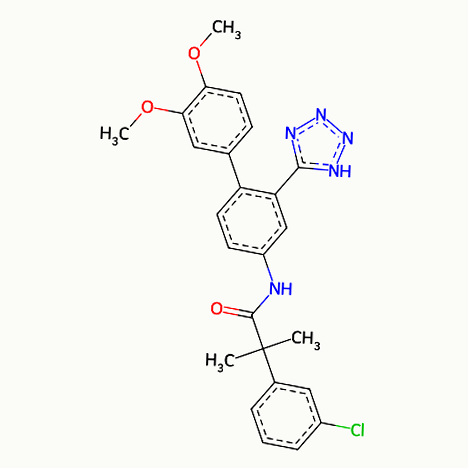 COc1ccc(-c2ccc(NC(=O)C(C)(C)c3cccc(Cl)c3)cc2-c2nnn[nH]2)cc1OC